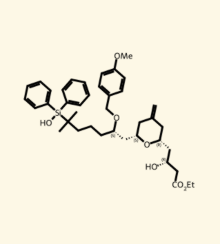 C=C1C[C@H](C[C@@H](O)CC(=O)OCC)O[C@H](C[C@H](CCCC(C)(C)[Si](O)(c2ccccc2)c2ccccc2)OCc2ccc(OC)cc2)C1